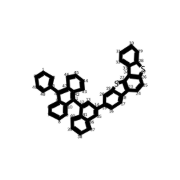 c1ccc(-c2c3ccccc3c(-c3cc(-c4ccc5c(c4)sc4c5ccc5sc6ccccc6c54)cc4ccccc34)c3ccccc23)cc1